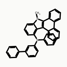 Cn1c2cccc(N(c3ccccc3)c3cccc(-c4ccccc4)c3)c2c2c3ccccc3c3ccccc3c21